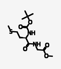 COC(=O)CNC(=O)[C@@H](CCSC)NC(=O)OC(C)(C)C